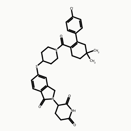 CC1(C)CCC(C(=O)N2CCC(Sc3ccc4c(c3)CN(C3CCC(=O)NC3=O)C4=O)CC2)=C(c2ccc(Cl)cc2)C1